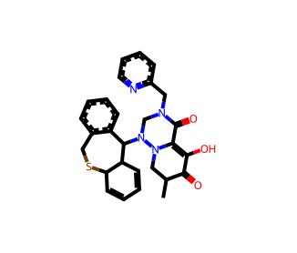 CC1CN2C(=C(O)C1=O)C(=O)N(Cc1ccccn1)CN2C1c2ccccc2CSC2C=CC=CC21